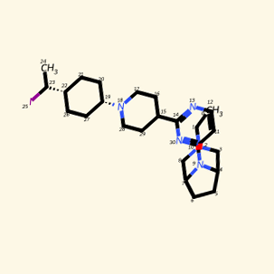 CCN1CC2CCC(C1)N2c1ccnc(C2CCN([C@H]3CC[C@@H](C(C)I)CC3)CC2)n1